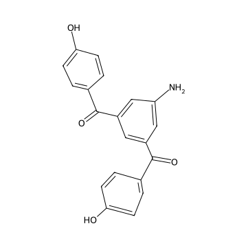 Nc1cc(C(=O)c2ccc(O)cc2)cc(C(=O)c2ccc(O)cc2)c1